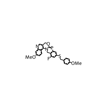 COc1ccc(CSc2cc(F)c3c(c2)P=C2OCc4cnc5cc(OC)ccc5c4N2C3)cc1